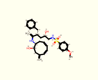 C=C1/C=C\C=C/C[C@H](NC(=C)[C@H](Cc2ccccc2)C[C@H](O)CNS(=O)(=O)c2ccc(OCCC)cc2)[C@H](O)C1